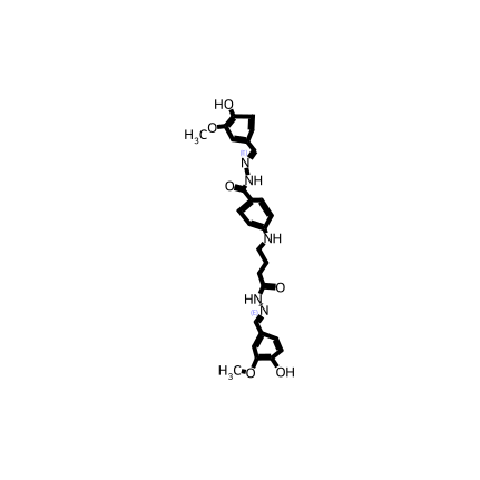 COc1cc(/C=N/NC(=O)CCCNc2ccc(C(=O)N/N=C/c3ccc(O)c(OC)c3)cc2)ccc1O